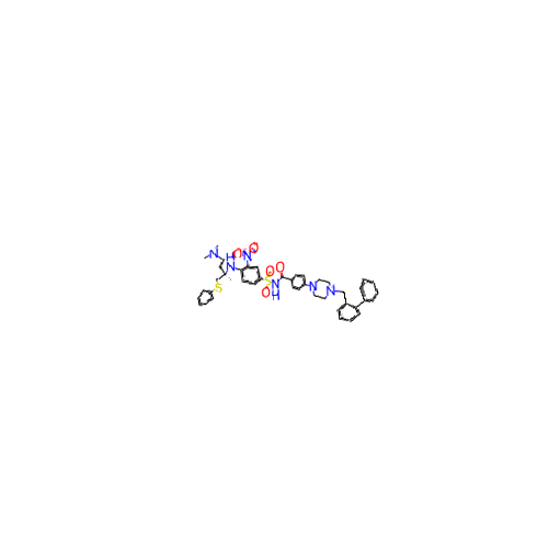 CN(C)CC[C@](C)(CSc1ccccc1)Nc1ccc(S(=O)(=O)NC(=O)c2ccc(N3CCN(Cc4ccccc4-c4ccccc4)CC3)cc2)cc1[N+](=O)[O-]